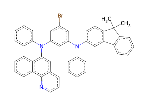 CC1(C)c2ccccc2-c2cc(N(c3ccccc3)c3cc(Br)cc(N(c4ccccc4)c4cc5cccnc5c5ccccc45)c3)ccc21